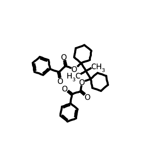 CC(C)(C1(OC(=O)C(=O)c2ccccc2)CCCCC1)C1(OC(=O)C(=O)c2ccccc2)CCCCC1